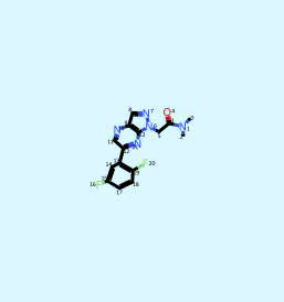 CN(C)C(=O)Cn1ncc2ncc(-c3cc(F)ccc3F)nc21